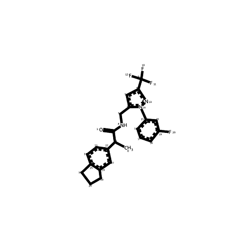 CC(C(=O)NCc1cc(C(F)(F)F)nn1-c1cccc(F)c1)c1ccc2c(c1)CCC2